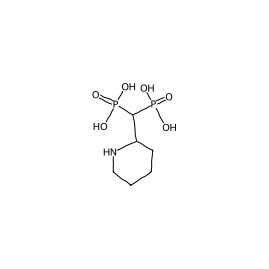 O=P(O)(O)C(C1CCCCN1)P(=O)(O)O